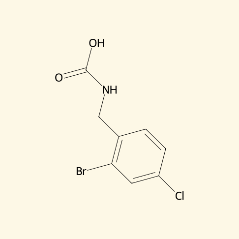 O=C(O)NCc1ccc(Cl)cc1Br